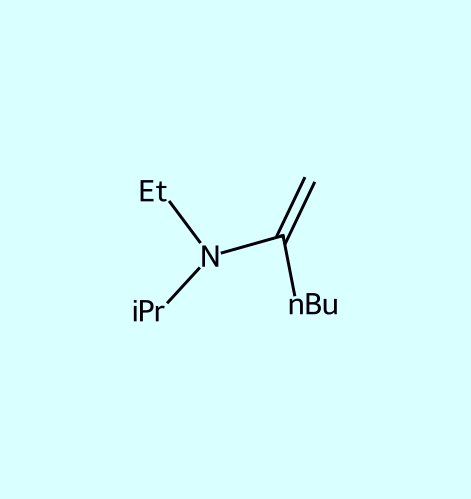 C=C(CCCC)N(CC)C(C)C